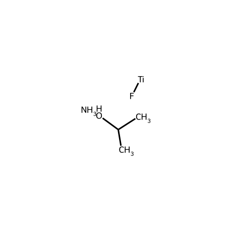 CC(C)O.N.[F][Ti]